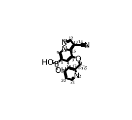 C[C@@H](Oc1cc(B(O)O)cn2ncc(C#N)c12)c1ccccn1